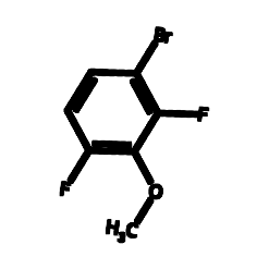 COc1c(F)ccc(Br)c1F